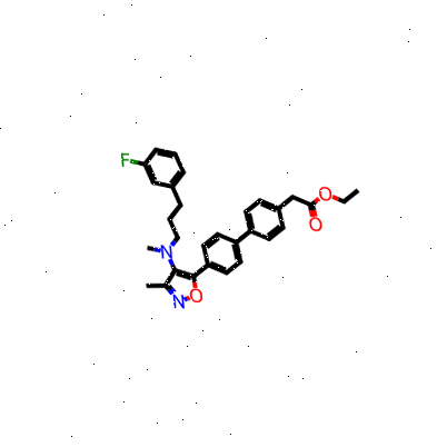 CCOC(=O)Cc1ccc(-c2ccc(-c3onc(C)c3N(C)CCCc3cccc(F)c3)cc2)cc1